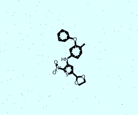 Cc1ccc(Nc2cc(C3OCCO3)sc2[N+](=O)[O-])cc1Oc1ccccc1